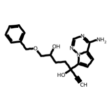 C#CC(O)(CCC(O)COCc1ccccc1)c1ccc2c(N)ncnn12